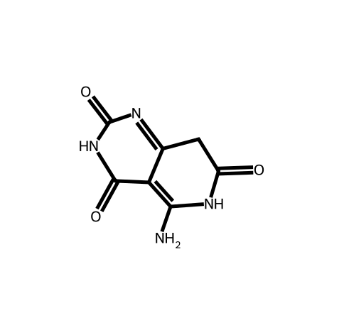 NC1=C2C(=O)NC(=O)N=C2CC(=O)N1